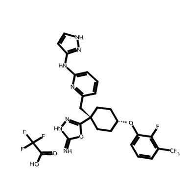 N=c1[nH]nc([C@]2(Cc3cccc(Nc4cc[nH]n4)n3)CC[C@H](Oc3cccc(C(F)(F)F)c3F)CC2)o1.O=C(O)C(F)(F)F